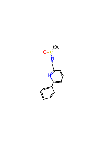 CC(C)(C)[S@@+]([O-])N=Cc1cccc(-c2ccccc2)n1